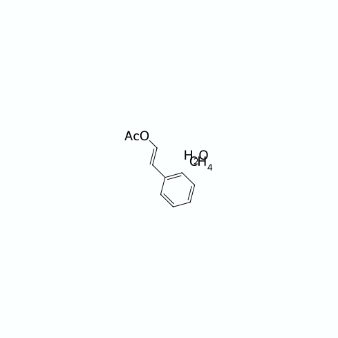 C.CC(=O)OC=Cc1ccccc1.O